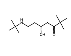 CC(C)(C)NCCC(O)CC(=O)C(C)(C)C